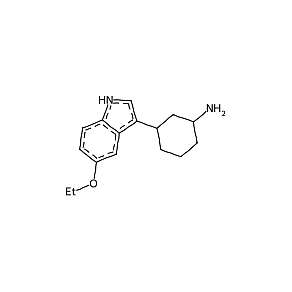 CCOc1ccc2[nH]cc(C3CCCC(N)C3)c2c1